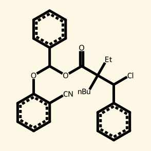 CCCCC(CC)(C(=O)OC(Oc1ccccc1C#N)c1ccccc1)C(Cl)c1ccccc1